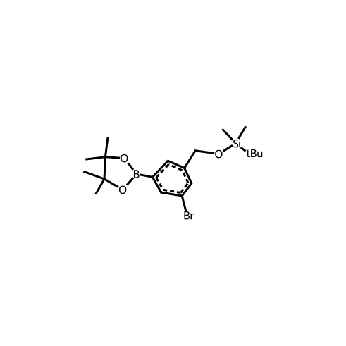 CC1(C)OB(c2cc(Br)cc(CO[Si](C)(C)C(C)(C)C)c2)OC1(C)C